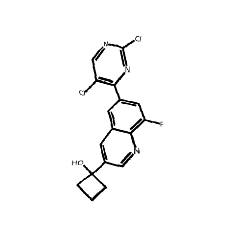 OC1(c2cnc3c(F)cc(-c4nc(Cl)ncc4Cl)cc3c2)CCC1